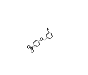 O=[N+]([O-])c1ccc(OCc2cccc(F)c2)cc1